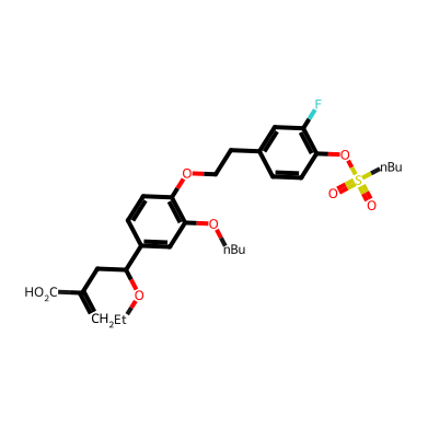 C=C(CC(OCC)c1ccc(OCCc2ccc(OS(=O)(=O)CCCC)c(F)c2)c(OCCCC)c1)C(=O)O